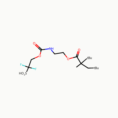 CC(C)(C)CC(C)(C(=O)OCCNC(=O)OCC(F)(F)S(=O)(=O)O)C(C)(C)C